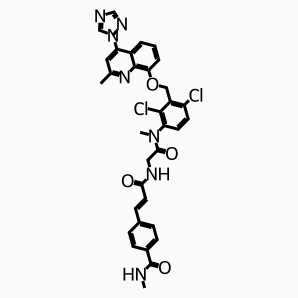 CNC(=O)c1ccc(C=CC(=O)NCC(=O)N(C)c2ccc(Cl)c(COc3cccc4c(-n5cncn5)cc(C)nc34)c2Cl)cc1